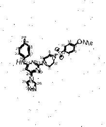 COc1ccc(S(=O)(=O)N2CCN(c3nc(Nc4ccc(C)cc4)cc(-n4cnnc4)n3)CC2)cc1